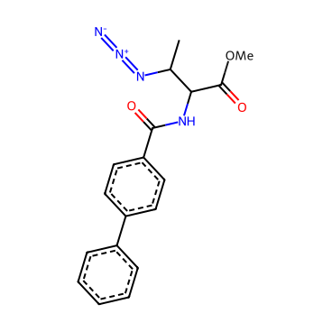 COC(=O)C(NC(=O)c1ccc(-c2ccccc2)cc1)C(C)N=[N+]=[N-]